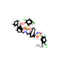 O=C(O)c1cc(S(=O)(=O)NCc2cccc(CN(Cc3ccc(-c4ccccc4)cc3)S(=O)(=O)c3cc(Cl)cc(Cl)c3O)c2)c(F)cc1Cl